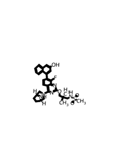 CC(C)(CNS(C)(=O)=O)COc1nc(N2C[C@H]3CC[C@@H](C2)N3)c2ccc(-c3cc(O)cc4ccccc34)c(F)c2n1